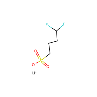 O=S(=O)([O-])CCCC(F)F.[Li+]